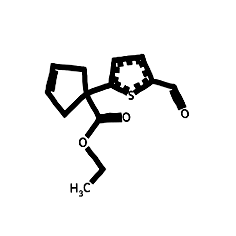 CCOC(=O)C1(c2ccc(C=O)s2)CC=CC1